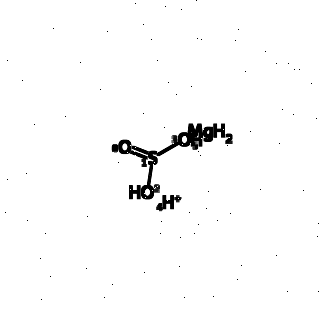 O=S(O)O.[H+].[MgH2]